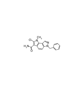 Cn1c(Cl)c(C(N)=O)c2ccc3c(cnn3Cc3ccccc3)c21